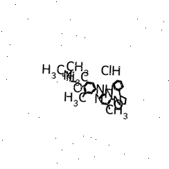 CCN(CC)CCOc1c(C)cc(Nc2ncc(C)c(N3OCCC3c3ccccc3)n2)cc1C.Cl